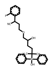 CC(C)(CCC(O)COCCC(C#N)c1ccccc1F)[Si](O)(c1ccccc1)c1ccccc1